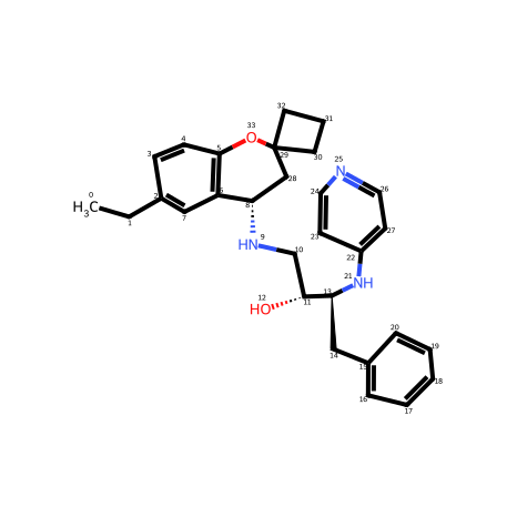 CCc1ccc2c(c1)[C@@H](NC[C@@H](O)[C@H](Cc1ccccc1)Nc1ccncc1)CC1(CCC1)O2